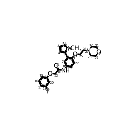 Cn1nccc1-c1cc(NC(=O)COc2cccc(F)c2)ccc1OCCN1CCOCC1